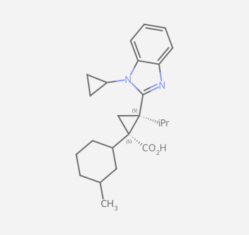 CC1CCCC([C@@]2(C(=O)O)C[C@]2(c2nc3ccccc3n2C2CC2)C(C)C)C1